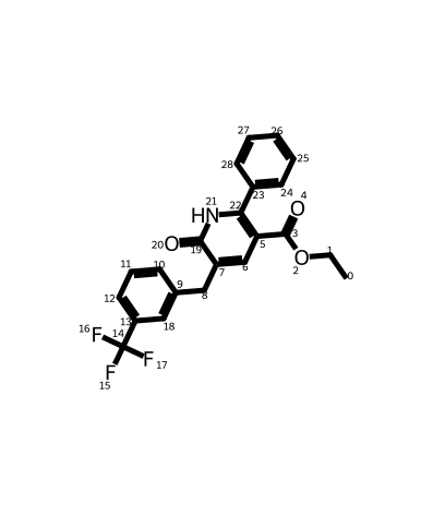 CCOC(=O)c1cc(Cc2cccc(C(F)(F)F)c2)c(=O)[nH]c1-c1ccccc1